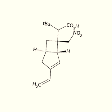 C=CC1=C[C@@H]2[C@@H](C1)C[C@]2(C[N+](=O)[O-])C(C(=O)O)C(C)(C)C